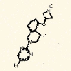 CCc1cnc(N2CCc3c(cccc3OC3CN(Cl)C3)C2)nc1